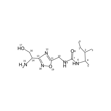 CCC(C)C(C)NC(=O)NCc1nc(C(N)CO)no1